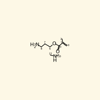 C=C(C)C(=O)OCCCN.CNC